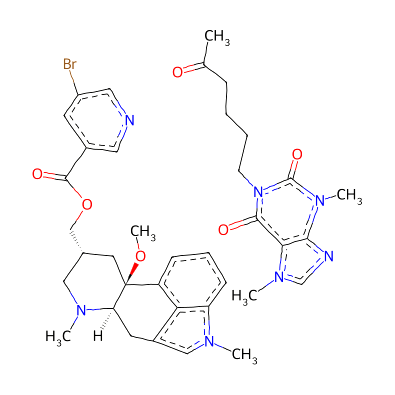 CC(=O)CCCCn1c(=O)c2c(ncn2C)n(C)c1=O.CO[C@]12C[C@@H](COC(=O)c3cncc(Br)c3)CN(C)[C@@H]1Cc1cn(C)c3cccc2c13